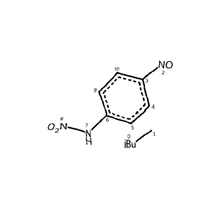 CCC(C)C.O=Nc1ccc(N[N+](=O)[O-])cc1